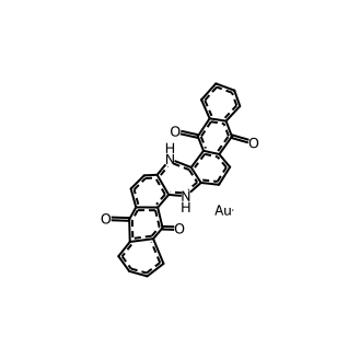 O=c1c2ccccc2c(=O)c2c1ccc1[nH]c3c(ccc4c(=O)c5ccccc5c(=O)c43)[nH]c12.[Au]